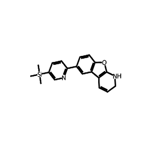 C[Si](C)(C)c1ccc(-c2ccc3oc4c(c3c2)C=CCN4)nc1